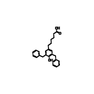 O=C(O)CCCCCc1cc(Cc2ccccc2)c(O)c(Cc2ccccc2)c1